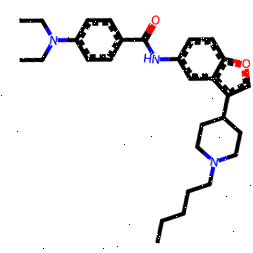 CCCCCN1CCC(c2coc3ccc(NC(=O)c4ccc(N(CC)CC)cc4)cc23)CC1